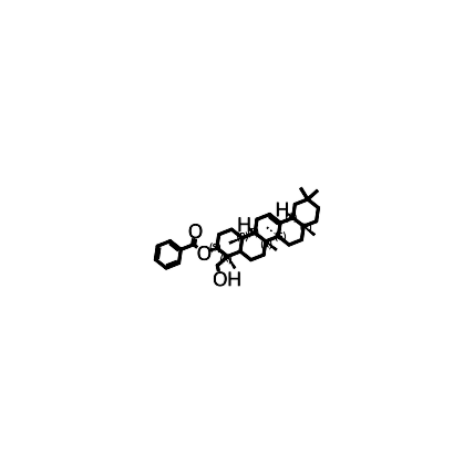 CC1(C)CC[C@]2(C)CC[C@]3(C)C(=CC[C@@H]4[C@@]5(C)CC[C@H](OC(=O)c6ccccc6)[C@@](C)(CO)C5CC[C@]43C)[C@H]2C1